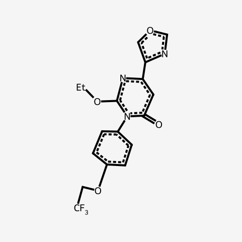 CCOc1nc(-c2cocn2)cc(=O)n1-c1ccc(OCC(F)(F)F)cc1